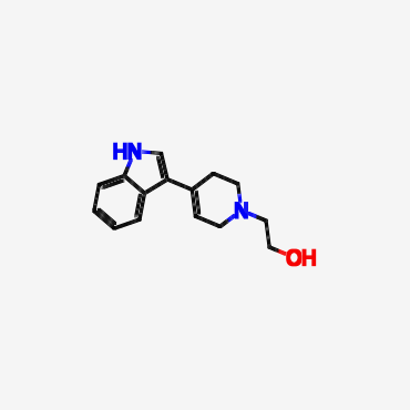 OCCN1CC=C(c2c[nH]c3ccccc23)CC1